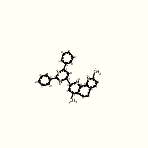 Cc1ccc2ccc3c(C)cc(-c4cc(-c5ccccc5)nc(-c5ccccc5)n4)nc3c2n1